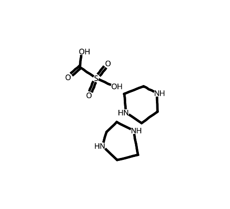 C1CNCCN1.C1CNCCN1.O=C(O)S(=O)(=O)O